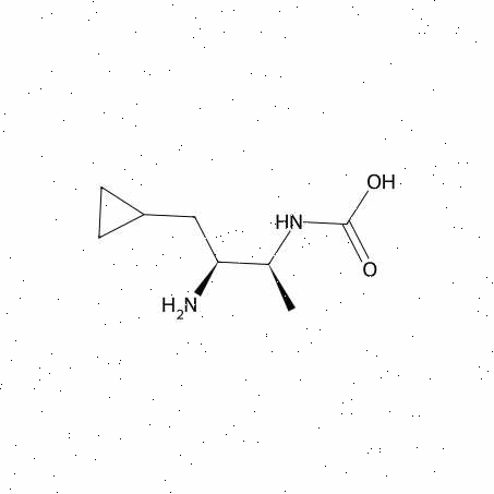 C[C@H](NC(=O)O)[C@@H](N)CC1CC1